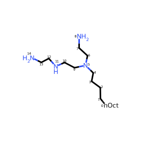 CCCCCCCCCCCCN(CCN)CCNCCN